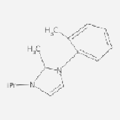 Cc1ccccc1N1C=CN(C(C)C)C1C